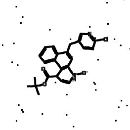 CC(C)(C)OC(=O)C1C=C[NH+]([O-])c2cc(Cc3ccc(Cl)nc3)c3ccccc3c21